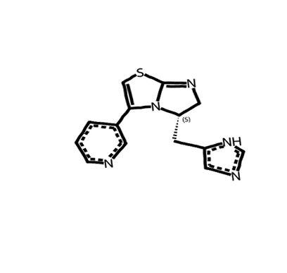 C1=C(c2cccnc2)N2C(=NC[C@@H]2Cc2cnc[nH]2)S1